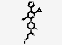 COCCC(=O)N1CCN(c2nc(C3CC3)c(-c3ccsc3)cc2C#N)C[C@H]1C